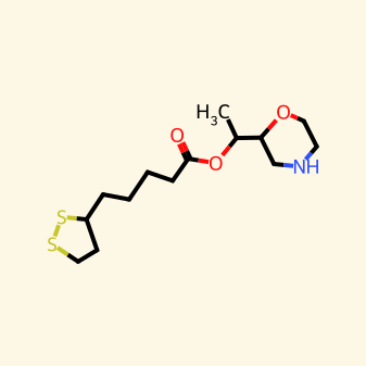 CC(OC(=O)CCCCC1CCSS1)C1CNCCO1